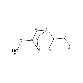 CCC1CN2CCC1CC2CO